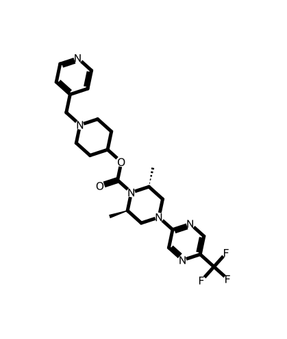 C[C@@H]1CN(c2cnc(C(F)(F)F)cn2)C[C@@H](C)N1C(=O)OC1CCN(Cc2ccncc2)CC1